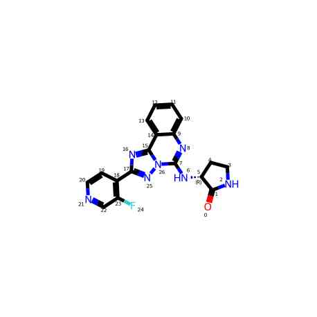 O=C1NCC[C@H]1Nc1nc2ccccc2c2nc(-c3ccncc3F)nn12